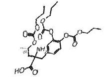 CCCOC(=O)Oc1ccc(CC(N)(C[C@H](C)OC(=O)OCCC)C(=O)O)cc1OC(=O)OCCC